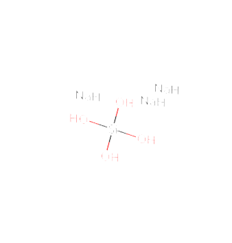 O[Si](O)(O)O.[NaH].[NaH].[NaH]